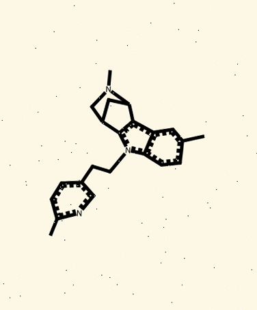 Cc1ccc2c(c1)c1c(n2CCc2ccc(C)nc2)C2CC1N(C)C2